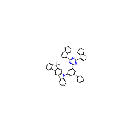 CC1(C)c2ccccc2-c2cc3c4ccccc4n(-c4cc(-c5ccccc5)cc(-c5nc(C6=CCCC7CC=CC=C67)nc(-c6cccc7ccccc67)n5)c4)c3cc21